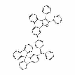 c1ccc(-c2oc3c4cc(-c5ccc(N(c6ccccc6)c6ccc7c(c6)C6(c8ccccc8-c8ccccc86)c6ccccc6-7)cc5)ccc4c4ccccc4c3c2-c2ccccc2)cc1